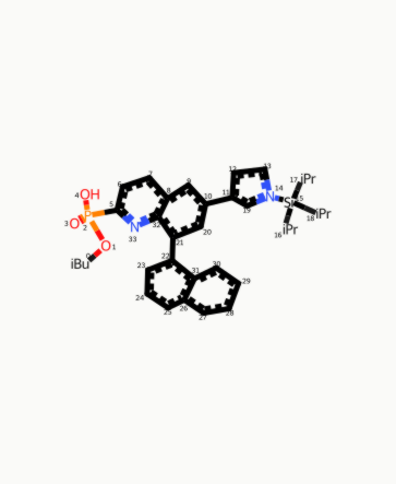 CCC(C)OP(=O)(O)c1ccc2cc(-c3ccn([Si](C(C)C)(C(C)C)C(C)C)c3)cc(-c3cccc4ccccc34)c2n1